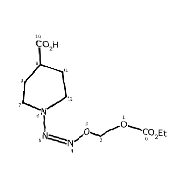 CCOC(=O)OCO/N=N\N1CCC(C(=O)O)CC1